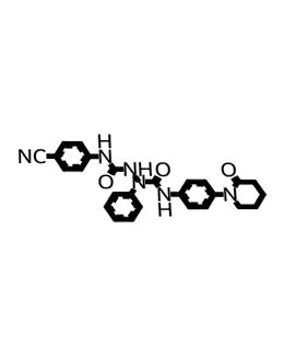 N#Cc1ccc(NC(=O)NN(C(=O)Nc2ccc(N3CCCCC3=O)cc2)c2ccccc2)cc1